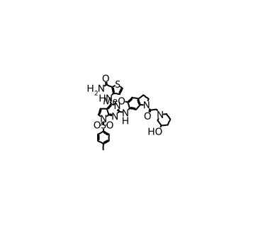 COc1cc2c(cc1Nc1nc(Nc3ccsc3C(N)=O)c3ccn(S(=O)(=O)c4ccc(C)cc4)c3n1)N(C(=O)CN1CCCC(O)C1)CC2